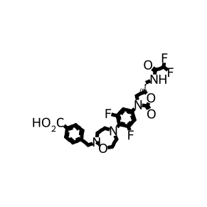 O=C(O)c1ccc(CN2CCN(c3c(F)cc(N4C[C@H](CNC(=O)C(F)F)OC4=O)cc3F)CCO2)cc1